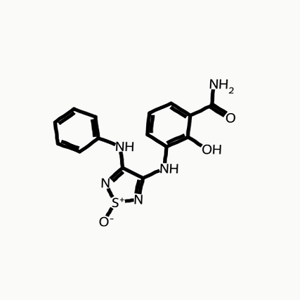 NC(=O)c1cccc(Nc2n[s+]([O-])nc2Nc2ccccc2)c1O